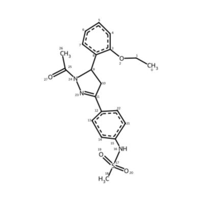 CCOc1ccccc1C1CC(c2ccc(NS(C)(=O)=O)cc2)=NN1C(C)=O